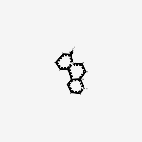 O=c1cccc2c3cccnc3ccn12